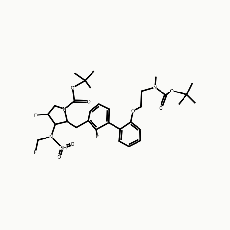 CN(CCOc1ccccc1-c1cccc(CC2C(N(CF)[SH](=O)=O)C(F)CN2C(=O)OC(C)(C)C)c1F)C(=O)OC(C)(C)C